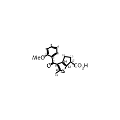 COc1ccccc1C(=O)c1c(C)sc2c1CCC2C(=O)O